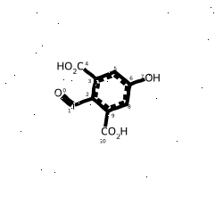 O=Ic1c(C(=O)O)cc(O)cc1C(=O)O